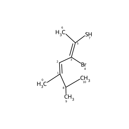 C/C(=C/C(Br)=C(\C)S)C(C)C